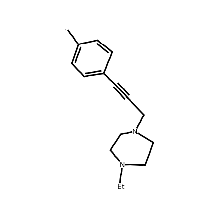 [CH2]c1ccc(C#CCN2CCN(CC)CC2)cc1